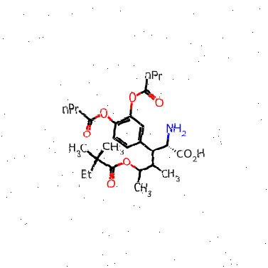 CCCC(=O)Oc1ccc(C(C(C)C(C)OC(=O)C(C)(C)CC)[C@H](N)C(=O)O)cc1OC(=O)CCC